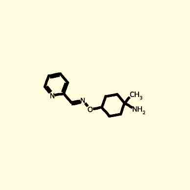 CC1(N)CCC(O/N=C/c2ccccn2)CC1